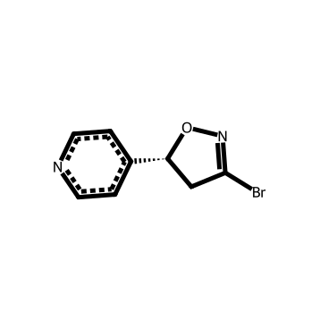 BrC1=NO[C@@H](c2ccncc2)C1